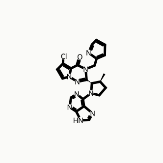 C[C@H]1CCN(c2ncnc3[nH]cnc23)[C@@H]1c1nn2ccc(Cl)c2c(=O)n1Cc1ccccn1